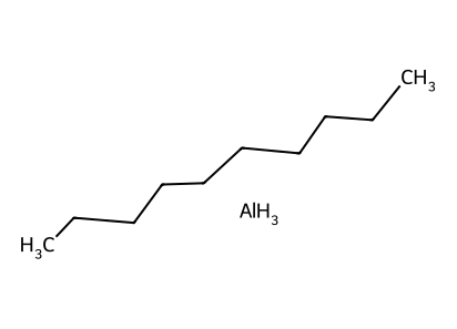 CCCCCCCCCC.[AlH3]